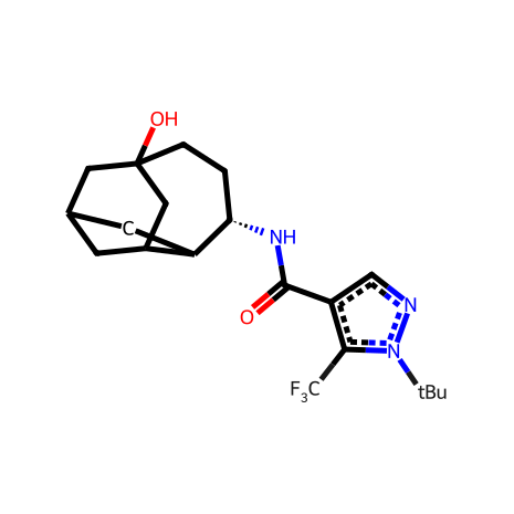 CC(C)(C)n1ncc(C(=O)N[C@H]2CCC3(O)CC4CC(C3)C2C4)c1C(F)(F)F